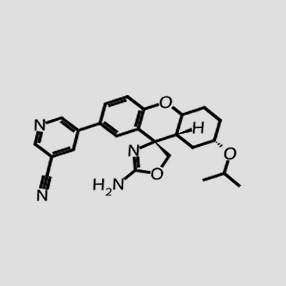 CC(C)O[C@H]1CCC2Oc3ccc(-c4cncc(C#N)c4)cc3[C@]3(COC(N)=N3)[C@H]2C1